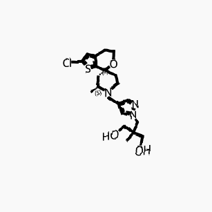 C[C@H]1C[C@@]2(CCN1Cc1cnn(CC(C)(CO)CO)c1)OCCc1cc(Cl)sc12